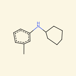 Cc1cccc(NC2CCCCC2)c1